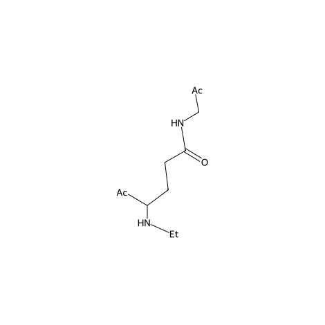 CCNC(CCC(=O)NCC(C)=O)C(C)=O